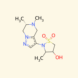 CC1C(O)CS(=O)(=O)N1c1cnn2c1CN(C)[C@@H](C)C2